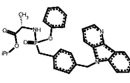 CC(C)OC(=O)[C@H](C)NP(=O)(Cc1ccc(Cn2c3ccccc3c3ncccc32)cc1)Oc1ccccc1